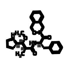 CO[C@@H]([C@@H]1CCCN1)[C@@H](C)C(=O)N[C@@H](Cc1ccccc1)C(=O)N1Cc2ccccc2CO1